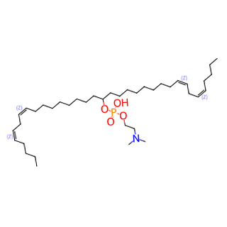 CCCC/C=C\C/C=C\CCCCCCCCC(CCCCCCCC/C=C\C/C=C\CCCC)OP(=O)(O)OCCN(C)C